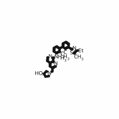 CCc1nc(-c2cccc(-c3cccc(Nc4nccc5cc(CN6CC[C@H](O)C6)cnc45)c3C)c2C)sc1C